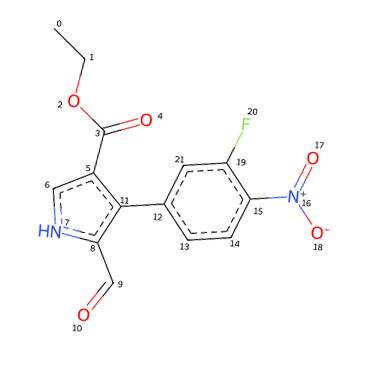 CCOC(=O)c1c[nH]c(C=O)c1-c1ccc([N+](=O)[O-])c(F)c1